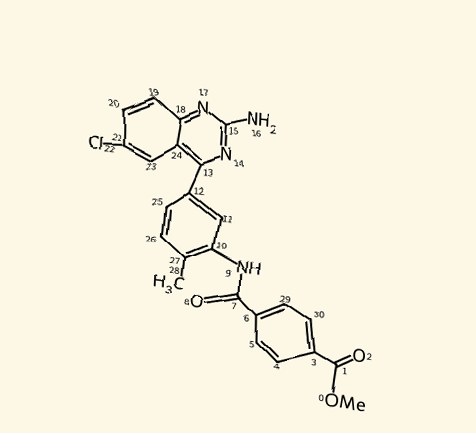 COC(=O)c1ccc(C(=O)Nc2cc(-c3nc(N)nc4ccc(Cl)cc34)ccc2C)cc1